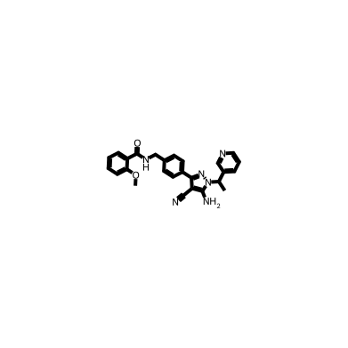 COc1ccccc1C(=O)NCc1ccc(-c2nn(C(C)c3cccnc3)c(N)c2C#N)cc1